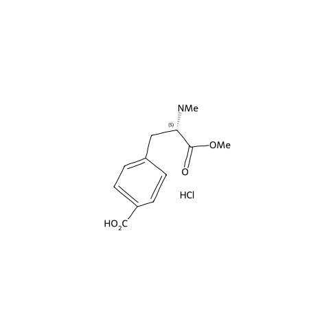 CN[C@@H](Cc1ccc(C(=O)O)cc1)C(=O)OC.Cl